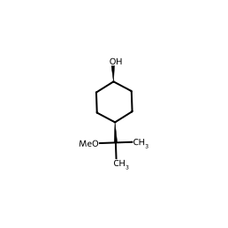 COC(C)(C)[C@H]1CC[C@@H](O)CC1